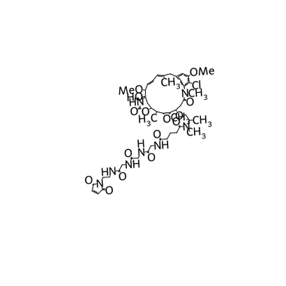 COc1cc2cc(c1Cl)N(C)C(=O)CC(OCC(C)N(C)C(=O)CCCC(=O)NCC(=O)NCC(=O)NCC(=O)NCCN1C(=O)C=CC1=O)C1(C)OC1C(C)C1CC(O)(NC(=O)O1)C(OC)/C=C/C=C(\C)C2